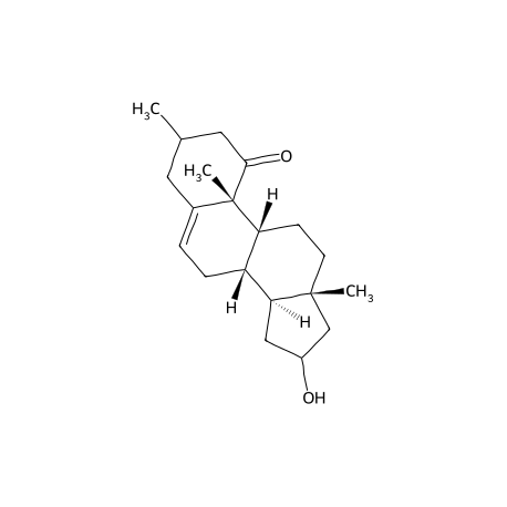 CC1CC(=O)[C@@]2(C)C(=CC[C@@H]3[C@H]2CC[C@]2(C)CC(O)C[C@@H]32)C1